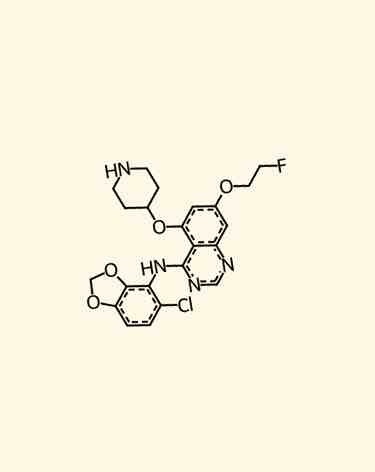 FCCOc1cc(OC2CCNCC2)c2c(Nc3c(Cl)ccc4c3OCO4)ncnc2c1